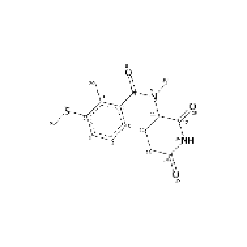 CSc1cccc(C(=O)N(C)C2CCC(=O)NC2=O)c1C